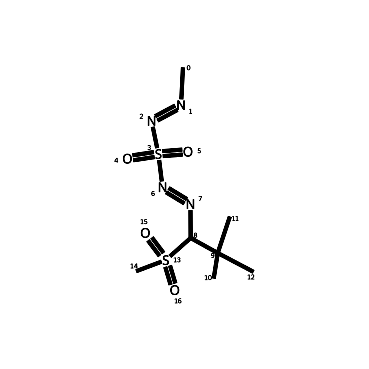 CN=NS(=O)(=O)N=NC(C(C)(C)C)S(C)(=O)=O